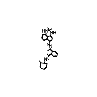 C/C(N=NC1=CC=CCCC1C)=c1/cccc/c1=C(/C)N=Nc1ccc2c3c(cccc13)NC(C)(C)N2